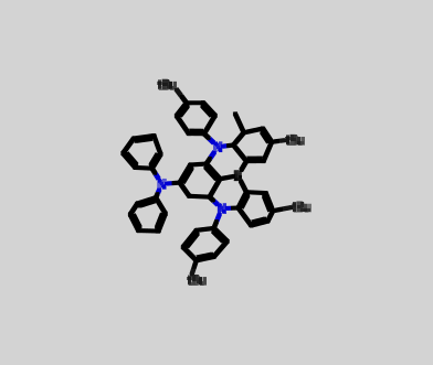 CC1C=C(C(C)(C)C)C=C2B3C4=C(C=C(N(c5ccccc5)c5ccccc5)CC4N(c4ccc(C(C)(C)C)cc4)c4ccc(C(C)(C)C)cc43)N(c3ccc(C(C)(C)C)cc3)C21